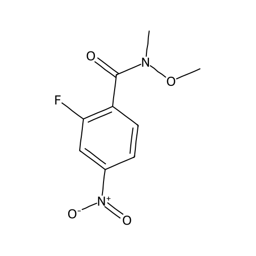 CON(C)C(=O)c1ccc([N+](=O)[O-])cc1F